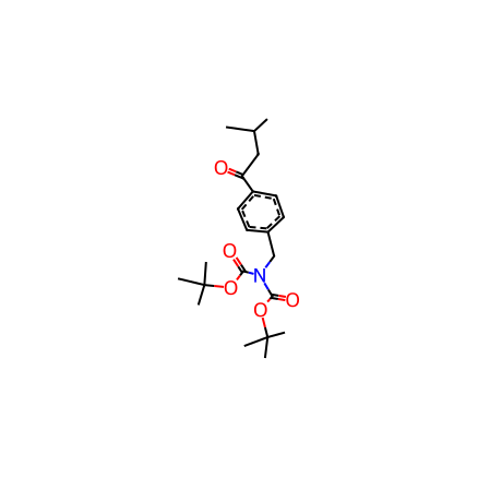 CC(C)CC(=O)c1ccc(CN(C(=O)OC(C)(C)C)C(=O)OC(C)(C)C)cc1